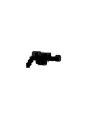 CCCCC/C=C\CC(C(O)CC(C(O)CCCCCCC=O)[N+](=O)[O-])[N+](=O)[O-]